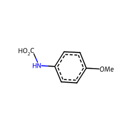 COc1ccc(NC(=O)O)cc1